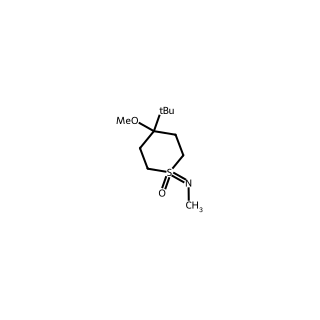 CN=S1(=O)CCC(OC)(C(C)(C)C)CC1